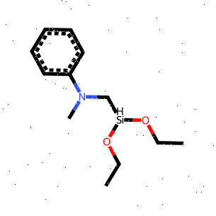 CCO[SiH](CN(C)c1ccccc1)OCC